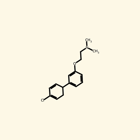 CN(C)CCOc1cccc(C2C=[C]C(Cl)=CC2)c1